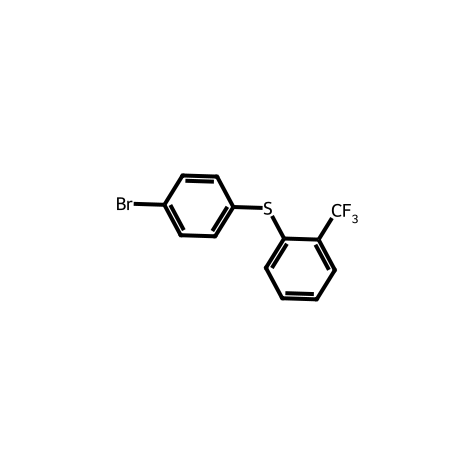 FC(F)(F)c1ccccc1Sc1ccc(Br)cc1